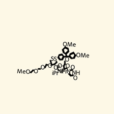 COCCOCCOCCO[C@@H]1CSSC[C@H]1OP(O[C@@H]1C(COC(c2ccccc2)(c2ccc(OC)cc2)c2ccc(OC)cc2)OC(n2ccc(=O)[nH]c2=O)[C@@H]1F)N(C(C)C)C(C)C